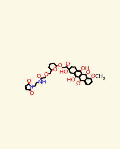 COc1cccc2c1C(=O)c1c(O)c3c(c(O)c1C2=O)C[C@@](O)(C(=O)COC1CCCC(COCC(=O)NCCN2C(=O)C=CC2=O)O1)CC3